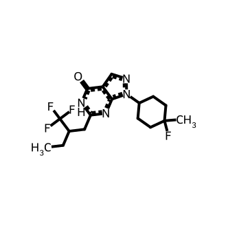 CCC(Cc1nc2c(cnn2C2CCC(C)(F)CC2)c(=O)[nH]1)C(F)(F)F